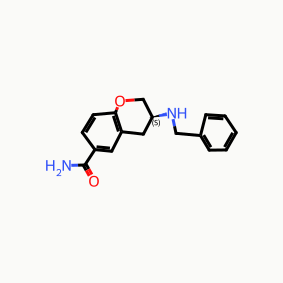 NC(=O)c1ccc2c(c1)C[C@H](NCc1ccccc1)CO2